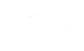 Fc1ccc(-c2cnnc(-c3ccccc3)c2)cc1-c1ccncc1